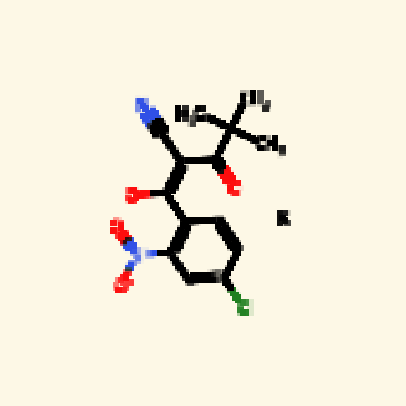 CC(C)(C)C(=O)C(C#N)=C([O-])c1ccc(Cl)cc1[N+](=O)[O-].[K+]